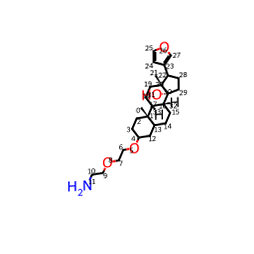 C[C@]12CCC(OCCOCCN)CC1CC[C@@H]1[C@H]2CC[C@]2(C)C(c3ccoc3)CC[C@@]12O